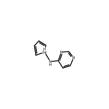 C1=C[SeH](Nc2ccncn2)C=C1